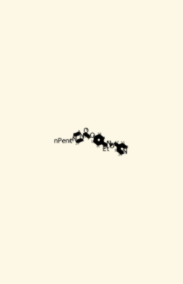 CCCCCN1CCN(C(=O)COc2ccc(C(CC)=NOCc3ccncc3)cc2)CC1